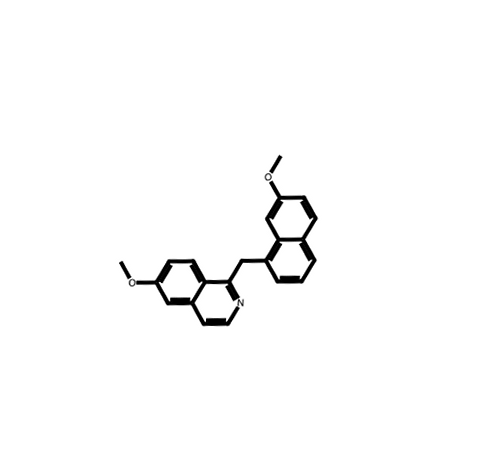 COc1ccc2c(Cc3cccc4ccc(OC)cc34)nccc2c1